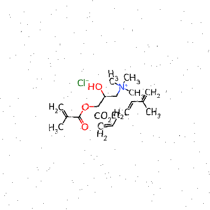 C=C(C)C(=O)OCC(O)C[N+](C)(C)C.C=CC(=C)C.C=CC(=O)OCC.[Cl-]